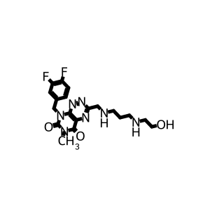 Cn1c(=O)c2nc(CNCCCNCCO)nnc2n(Cc2ccc(F)c(F)c2)c1=O